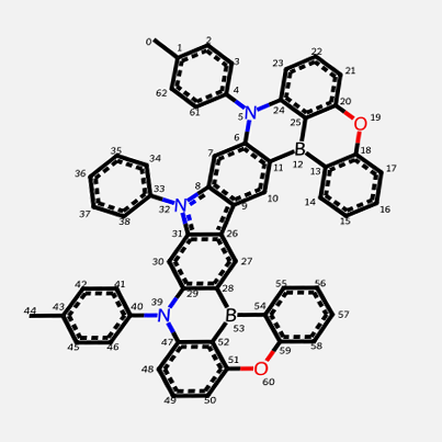 Cc1ccc(N2c3cc4c(cc3B3c5ccccc5Oc5cccc2c53)c2cc3c(cc2n4-c2ccccc2)N(c2ccc(C)cc2)c2cccc4c2B3c2ccccc2O4)cc1